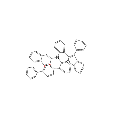 c1ccc(-c2ccc(-c3ccccc3N(c3ccc4ccccc4c3)c3ccccc3-c3oc4ccccc4c3-c3ccccc3)cc2)cc1